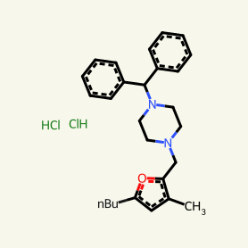 CCCCc1cc(C)c(CN2CCN(C(c3ccccc3)c3ccccc3)CC2)o1.Cl.Cl